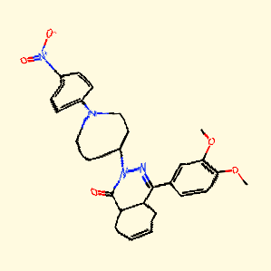 COc1ccc(C2=NN(C3CCN(c4ccc([N+](=O)[O-])cc4)CC3)C(=O)C3CC=CCC23)cc1OC